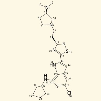 CN(C)[C@@H]1CCN(CC[C@H]2CSC(c3cc4cc(Cl)cc(NC5CCCC5)c4[nH]3)=N2)C1